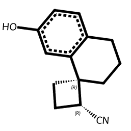 N#C[C@@H]1CC[C@]12CCCc1ccc(O)cc12